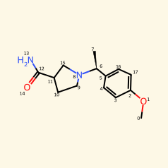 COc1ccc([C@H](C)N2CCC(C(N)=O)C2)cc1